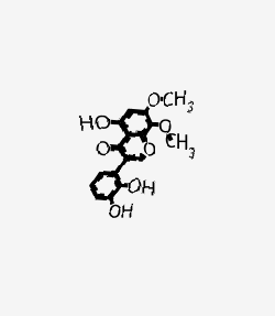 COc1cc(O)c2c(=O)c(-c3cccc(O)c3O)coc2c1OC